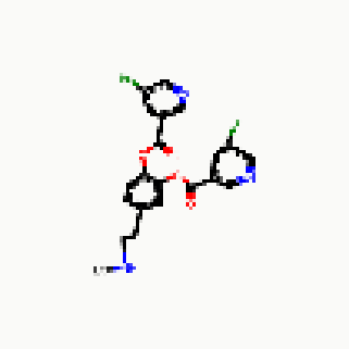 CCNCCc1ccc(OC(=O)c2cncc(Br)c2)c(OC(=O)c2cncc(Br)c2)c1